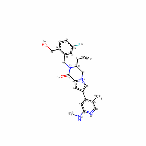 COC[C@H]1Cn2cc(-c3cc(NC(C)C)ncc3C(F)(F)F)cc2C(=O)N1Cc1cc(F)ccc1CO